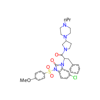 CCCN1CCN(C2CCN(C(=O)C(Cc3ccccc3)n3c(=O)n(S(=O)(=O)c4ccc(OC)cc4)c4ccc(Cl)cc43)C2)CC1